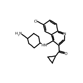 NC1CCC(Nc2c(C(=O)C3CC3)cnc3ccc(Cl)cc23)CC1